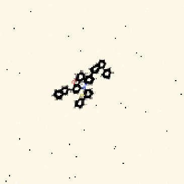 c1ccc(-c2cccc3ccc(-c4ccc(N(c5cccc6c5sc5ccccc56)c5ccc(-c6ccc7ccccc7c6)c6oc7ccccc7c56)cc4)cc23)cc1